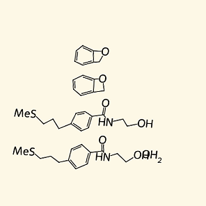 CSCCCc1ccc(C(=O)NCCO)cc1.CSCCCc1ccc(C(=O)NCCO)cc1.O.c1ccc2c(c1)CO2.c1ccc2c(c1)CO2